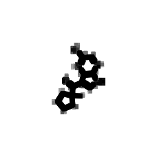 CC1(C(=O)c2c[nH]c3ncc(Br)nc23)CCCC1